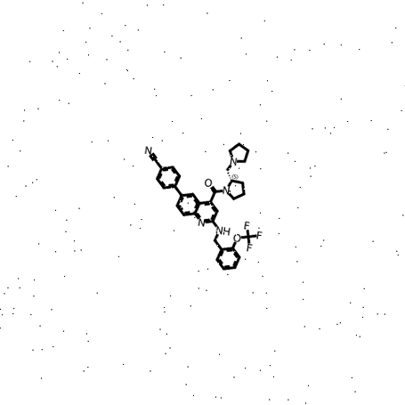 N#Cc1ccc(-c2ccc3nc(NCc4ccccc4OC(F)(F)F)cc(C(=O)N4CCC[C@H]4CN4CCCC4)c3c2)cc1